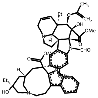 C=C(C)O[C@@H]1[C@]2(CC)C=CCN3CC[C@@]4(c5cc([C@@]6(C(=O)OC)C[C@H]7C[N@@](CCc8c6[nH]c6ccccc86)C[C@](O)(CC)C7)c(OC)cc5N(C=O)[C@H]4[C@@]1(O)C(=O)OC)[C@@H]32